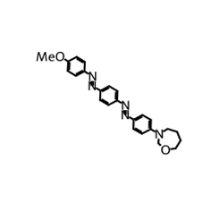 COc1ccc(N=Nc2ccc(N=Nc3ccc(N4CCCCOC4)cc3)cc2)cc1